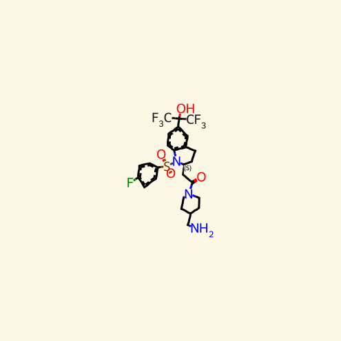 NCC1CCN(C(=O)C[C@@H]2CCc3cc(C(O)(C(F)(F)F)C(F)(F)F)ccc3N2S(=O)(=O)c2ccc(F)cc2)CC1